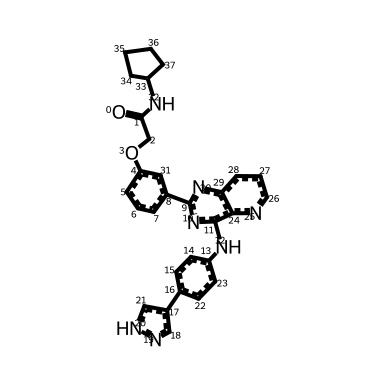 O=C(COc1cccc(-c2nc(Nc3ccc(-c4cn[nH]c4)cc3)c3ncccc3n2)c1)NC1CCCC1